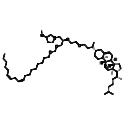 CCCCC/C=C\C/C=C\CCCCCCCCOCOCC(CN1CCC(OC)C1)OCCOCCC(C)[C@H]1CC[C@@]2(C)C(=CC[C@@H]3[C@@H]2CC[C@]2(C)[C@@H]([C@H](C)CCCC(C)C)CC[C@@]32N)C1